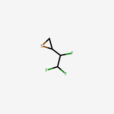 FC(F)C(F)C1CS1